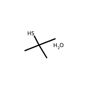 CC(C)(C)S.O